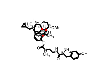 CO[C@]12CC[C@@]3(C[C@@H]1C(C)(C)O)[C@H]1Cc4ccc(OC(=O)N(C)CCNC(=O)[C@@H](N)Cc5ccc(O)cc5)c5c4[C@@]3(CC[N+]1(C)CC1CC1)[C@H]2O5